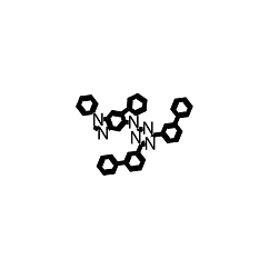 c1ccc(-c2cccc(-c3nc(-c4cccc(-c5ccccc5)c4)nc(-n4c5ccccc5c5cc6c(cc54)ncn6-c4ccccc4)n3)c2)cc1